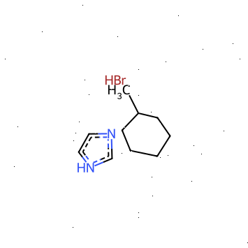 Br.CC1CCCCC1.c1c[nH]cn1